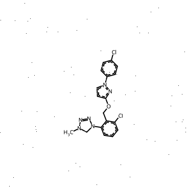 CN1CN(c2cccc(Cl)c2COc2ccn(-c3ccc(Cl)cc3)n2)N=N1